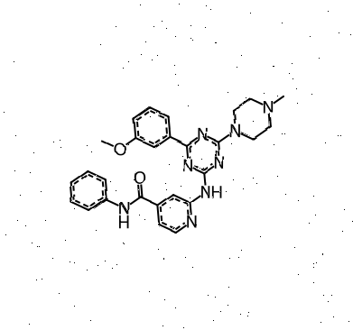 COc1cccc(-c2nc(Nc3cc(C(=O)Nc4ccccc4)ccn3)nc(N3CCN(C)CC3)n2)c1